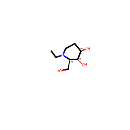 CCN1CC[C@@H](O)[C@H](O)[C@H]1CO